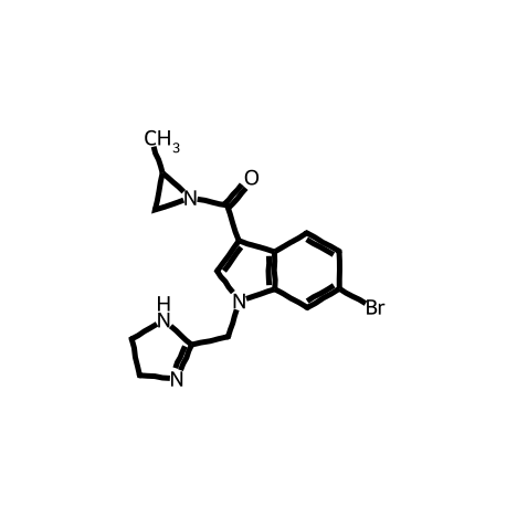 CC1CN1C(=O)c1cn(CC2=NCCN2)c2cc(Br)ccc12